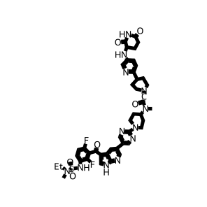 CCN(C)S(=O)(=O)Nc1ccc(F)c(C(=O)c2c[nH]c3ncc(-c4cnc(N5CCC(N(C)C(=O)CN6CCC(c7ccc(NC8CCC(=O)NC8=O)cn7)CC6)CC5)nc4)cc23)c1F